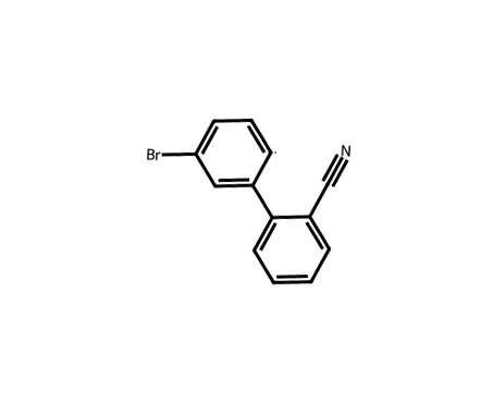 N#Cc1ccccc1-c1[c]ccc(Br)c1